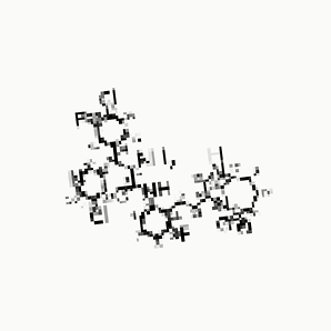 N[C@H](C(=O)Nc1cccc(F)c1CCC1CNC2CCCS(=O)(=O)N1C2)[C@H](c1cncc(Cl)c1)c1ccc(Cl)c(F)c1